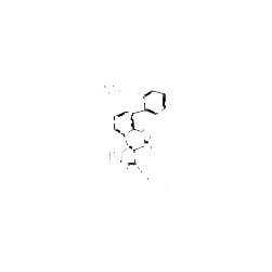 COc1ccccc1-c1cccc2c1nnc1c(N)n[nH]c12